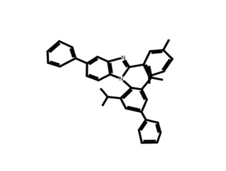 Cc1ccc(C)c(-c2nc3cc(-c4ccccc4)ccc3n2-c2c(C(C)C)cc(-c3ccccc3)cc2C(C)C)c1